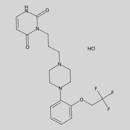 Cl.O=c1cc[nH]c(=O)n1CCCN1CCN(c2ccccc2OCC(F)(F)F)CC1